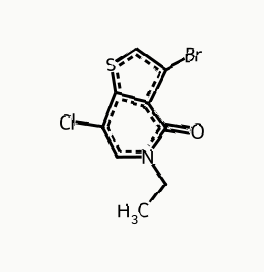 CCn1cc(Cl)c2scc(Br)c2c1=O